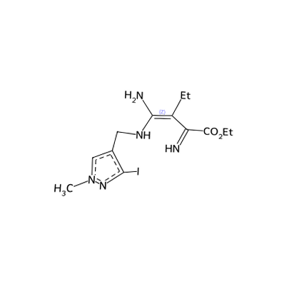 CCOC(=O)C(=N)/C(CC)=C(/N)NCc1cn(C)nc1I